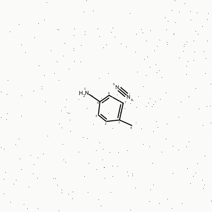 Cc1ccc(N)cc1.N#N